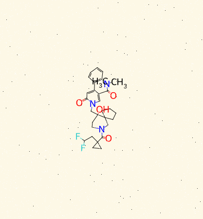 CN(C)C(=O)c1cn(CC2(O)CCN(C(=O)C3(CC(F)F)CC3)CC23CCCC3)c(=O)cc1-c1ccccc1